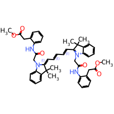 COC(=O)Cc1ccccc1NC(=O)CN1/C(=C/C=C/C=C/C2=[N+](CC(=O)Nc3ccccc3CC(=O)OC)c3ccccc3C2(C)C)C(C)(C)c2ccccc21